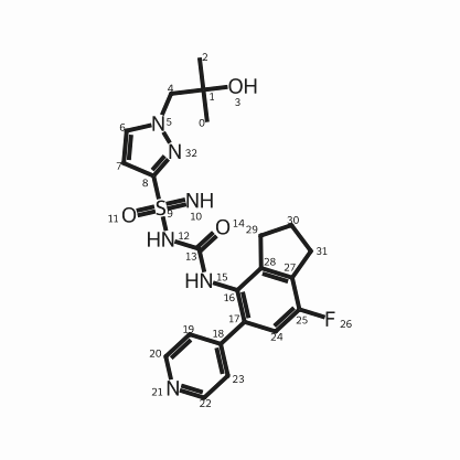 CC(C)(O)Cn1ccc(S(=N)(=O)NC(=O)Nc2c(-c3ccncc3)cc(F)c3c2CCC3)n1